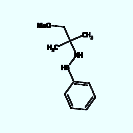 COCC(C)(C)NBc1ccccc1